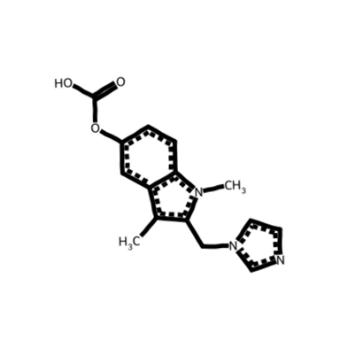 Cc1c(Cn2ccnc2)n(C)c2ccc(OC(=O)O)cc12